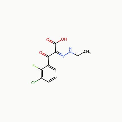 CCNN=C(C(=O)O)C(=O)c1cccc(Cl)c1F